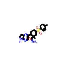 Cc1ccc(S(=O)(=O)C2CCC(c3cnc4[nH]ccc4n3)C(C)(C(N)=O)C2)cc1